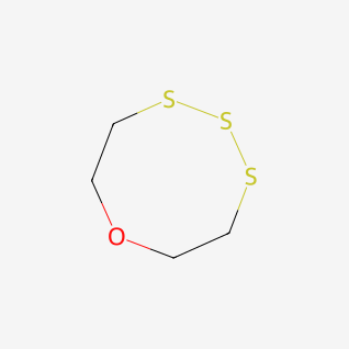 C1CSSSCCO1